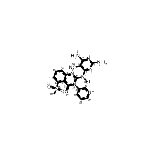 CCN(c1nc(N)nc(N)c1C#N)c1nc2cccc(S(C)(=O)=O)c2c(=O)n1-c1cccnc1